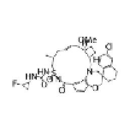 CO[C@H]1/C=C/C[C@H](C)C[S@@](=O)(NC(=O)N[C@@H]2C[C@H]2F)=NC(=O)c2ccc3c(c2)N(C[C@@H]2CC[C@H]21)C[C@@]1(CCCc2cc(Cl)ccc21)CO3